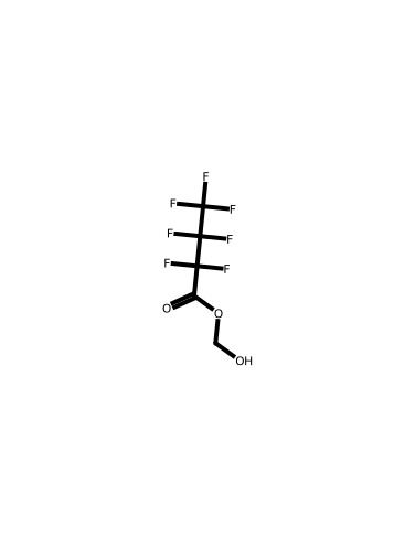 O=C(OCO)C(F)(F)C(F)(F)C(F)(F)F